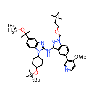 COc1ccncc1-c1ccc2c(c1)c(Nc1nc3cc(C(C)(C)O[SiH2]C(C)(C)C)ccc3n1C1CCC(O[Si](C)(C)C(C)(C)C)CC1)nn2COCC[Si](C)(C)C